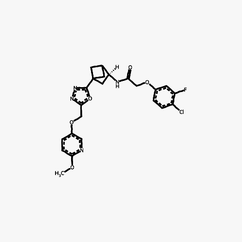 COc1ccc(OCc2nnc(C34CC(C3)[C@@H](NC(=O)COc3ccc(Cl)c(F)c3)C4)o2)cn1